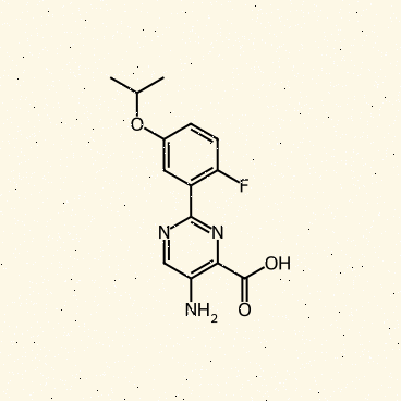 CC(C)Oc1ccc(F)c(-c2ncc(N)c(C(=O)O)n2)c1